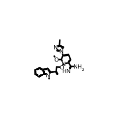 C=C(CON1C(C(=N)N)=CC=C(n2cnc(C)c2)C1OC)c1cc2ccccc2n1C